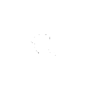 O=C1[C]=[C]N=N1